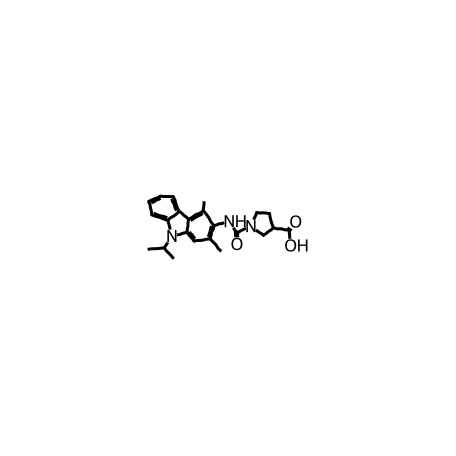 Cc1cc2c(c(C)c1NC(=O)N1CCC(C(=O)O)C1)c1ccccc1n2C(C)C